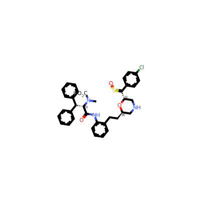 CN(C(=O)O)[C@H](C(=O)Nc1ccccc1CC[C@@H]1CNC[C@@H](C(=S=O)c2ccc(Cl)cc2)O1)C(c1ccccc1)c1ccccc1